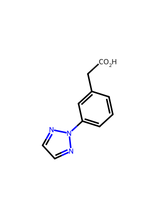 O=C(O)Cc1cccc(-n2nccn2)c1